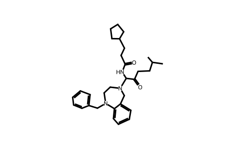 CC(C)CCC(=O)C(NC(=O)CCC1CCCC1)N1CCN(Cc2ccccc2)c2ccccc2C1